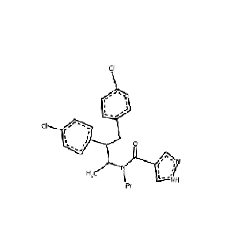 CC(C)N(C(=O)c1cn[nH]c1)C(C)C(Cc1ccc(Cl)cc1)c1ccc(Cl)cc1